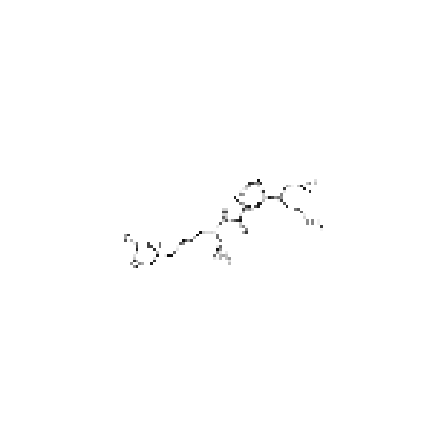 C=C/C(=C\C=C\CC1COC(=O)N1)NC(=O)c1cc(N(CCC)CC2CC2)ncn1